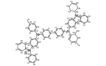 CC1=CC=C(N(c2ccc(-c3ccc(N(c4ccc(C)cc4)c4ccc5c(c4)C4C=CC=C[C@@H]4N5c4ccccc4)cc3)cc2)c2ccc3c(c2)c2ccccc2n3C2CC=CCC2)C(C)C1